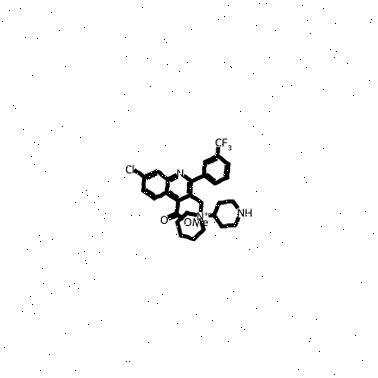 COC(=O)c1c(C[N+]2(C3CCNCC3)CCCCC2)c(-c2cccc(C(F)(F)F)c2)nc2cc(Cl)ccc12